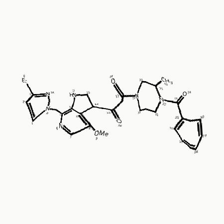 CCc1ccn(-c2ncc(OC)c3c2NCC3C(=O)C(=O)N2CCN(C(=O)c3ccccc3)C(C)C2)n1